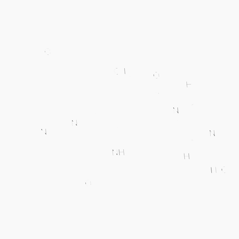 CCN1C[C@H]2C[C@@H]1CN2C(=O)c1cc2[nH]c(=O)c3cnc(C4CCOCC4)n3c2cc1C